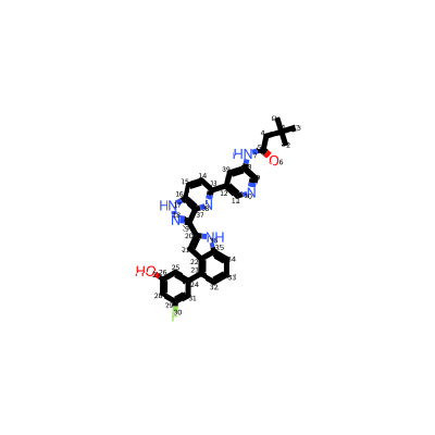 CC(C)(C)CC(=O)Nc1cncc(-c2ccc3[nH]nc(-c4cc5c(-c6cc(O)cc(F)c6)cccc5[nH]4)c3n2)c1